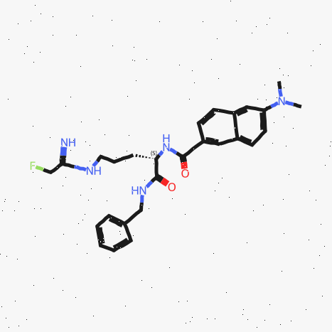 CN(C)c1ccc2cc(C(=O)N[C@@H](CCCNC(=N)CF)C(=O)NCc3ccccc3)ccc2c1